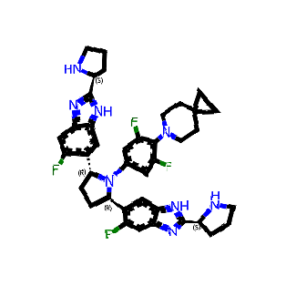 Fc1cc2nc([C@@H]3CCCN3)[nH]c2cc1[C@H]1CC[C@H](c2cc3[nH]c([C@@H]4CCCN4)nc3cc2F)N1c1cc(F)c(N2CCC3(CC2)CC3)c(F)c1